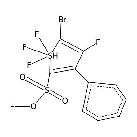 O=S(=O)(OF)C1=C(c2ccccc2)C(F)=C(Br)[SH]1(F)(F)F